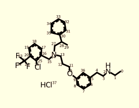 CCNCCc1cccc(OCCCN(Cc2cccc(C(F)(F)F)c2Cl)CC(C)c2ccccc2)c1.Cl